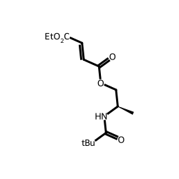 CCOC(=O)/C=C/C(=O)OC[C@@H](C)NC(=O)C(C)(C)C